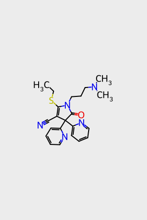 CCSC1=C(C#N)C(c2ccccn2)(c2ccccn2)C(=O)N1CCCN(C)C